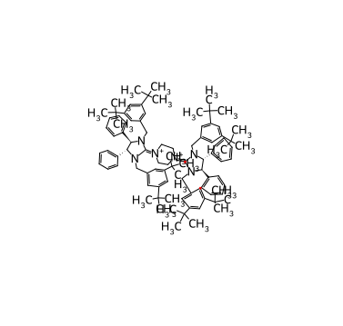 CC(C)(C)c1cc(CN2C(=[N+]3CC[N+](=C4N(Cc5cc(C(C)(C)C)cc(C(C)(C)C)c5)[C@H](c5ccccc5)[C@@H](c5ccccc5)N4Cc4cc(C(C)(C)C)cc(C(C)(C)C)c4)CC3)N(Cc3cc(C(C)(C)C)cc(C(C)(C)C)c3)[C@H](c3ccccc3)[C@H]2c2ccccc2)cc(C(C)(C)C)c1